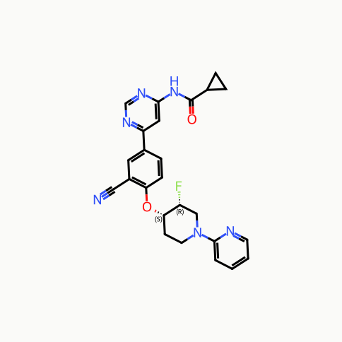 N#Cc1cc(-c2cc(NC(=O)C3CC3)ncn2)ccc1O[C@H]1CCN(c2ccccn2)C[C@H]1F